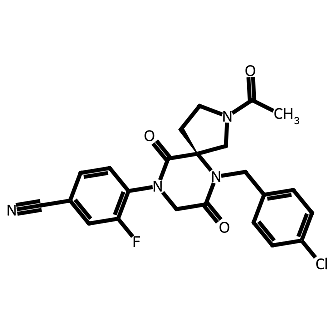 CC(=O)N1CC[C@]2(C1)C(=O)N(c1ccc(C#N)cc1F)CC(=O)N2Cc1ccc(Cl)cc1